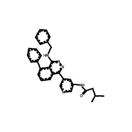 CC(C)CC(=O)Nc1cncc(-c2nnc(NCc3ccccc3)c3c(-c4ccccc4)cccc23)c1